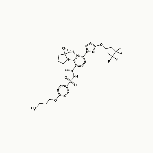 CCCCOc1ccc(S(=O)(=O)NC(=O)c2ccc(-n3ccc(OCCC4(C(F)(F)F)CC4)n3)nc2N2CCCC2(C)C)cc1